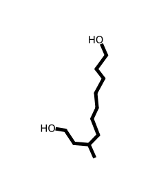 CC(CCO)CCCCCCCO